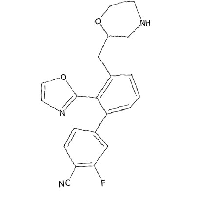 N#Cc1ccc(-c2cccc(CC3CNCCO3)c2-c2ncco2)cc1F